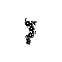 CC(C)O[C@@H]1CC2(CCN(C(=O)c3ccc(S(=O)(=O)CC4CCC4)cn3)CC2)Oc2ccc(F)cc21